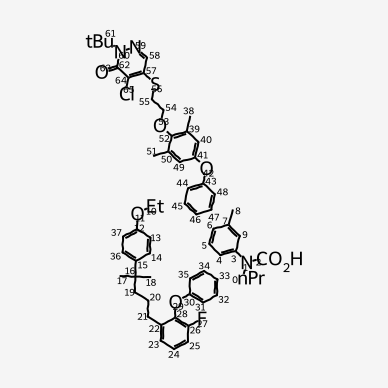 CCCN(C(=O)O)c1cccc(C)c1.CCOc1ccc(C(C)(C)CCCc2cccc(F)c2Oc2ccccc2)cc1.Cc1cc(Oc2ccccc2)cc(C)c1OCCSc1cnn(C(C)(C)C)c(=O)c1Cl